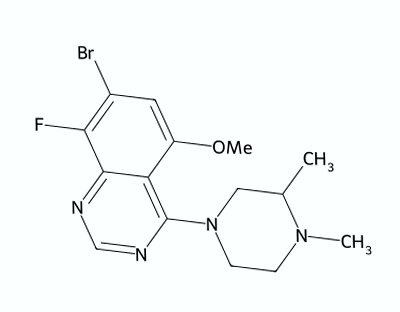 COc1cc(Br)c(F)c2ncnc(N3CCN(C)C(C)C3)c12